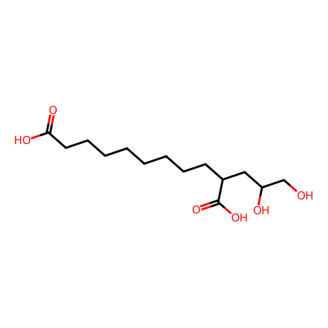 O=C(O)CCCCCCCCC(CC(O)CO)C(=O)O